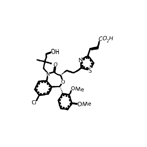 COc1cccc([C@H]2O[C@H](CCc3nc(/C=C/C(=O)O)cs3)C(=O)N(CC(C)(C)CO)c3ccc(Cl)cc32)c1OC